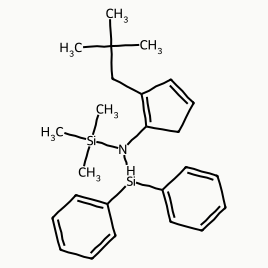 CC(C)(C)CC1=C(N([SiH](c2ccccc2)c2ccccc2)[Si](C)(C)C)CC=C1